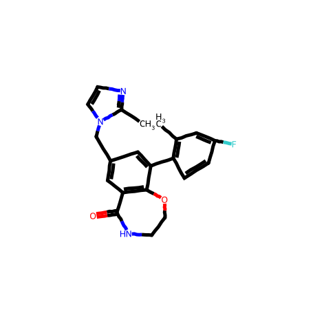 Cc1cc(F)ccc1-c1cc(Cn2ccnc2C)cc2c1OCCNC2=O